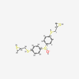 [O-][S+](c1ccc(SCC2CS2)cc1)c1ccc(SCC2CS2)cc1